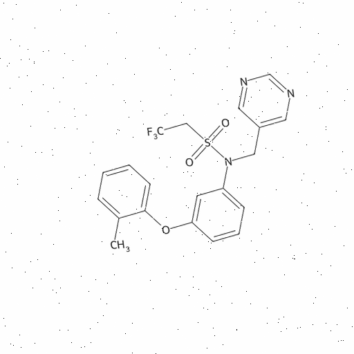 Cc1ccccc1Oc1cccc(N(Cc2cncnc2)S(=O)(=O)CC(F)(F)F)c1